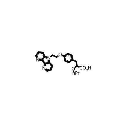 CCCOC(Cc1ccc(OCCn2c3cccnc3c3ncccc32)cc1)C(=O)O